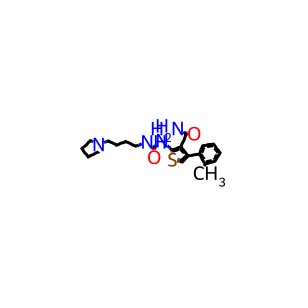 Cc1ccccc1-c1csc(NC(=O)NCCCCN2CCCC2)c1C(N)=O